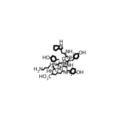 NCCCC[C@H](NC(=O)[C@H](CCCCN)NC(=O)[C@H](Cc1ccc(O)cc1)NC(=O)[C@H](Cc1ccc(O)cc1)NC(=O)[C@H](Cc1ccc(O)cc1)NC(=O)[C@@H](N)Cc1c[nH]c2ccccc12)C(=O)O